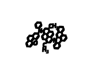 Cc1cc(N(c2ccccc2)c2cc3ccc4cccc5oc(c2)c3c45)c2ccc3c(C)cc(N(c4ccc5ccccc5c4)c4ccccc4-c4ccccc4)c4ccc1c2c34